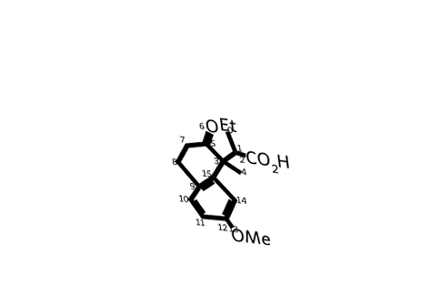 CCC(C(=O)O)C1(C)C(=O)CCc2ccc(OC)cc21